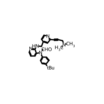 CN(C)CC#Cc1cc(CNc2ncccc2N(C=O)c2ccc(C(C)(C)C)cc2)ccn1